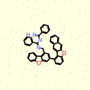 N/C(=N\C(=N/Cc1cc(-c2cccc3oc4cc5ccccc5cc4c23)cc2oc3ccccc3c12)c1ccccc1)c1ccccc1